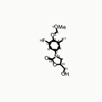 COCOc1c(F)cc(N2CC(CO)OC2=O)cc1F